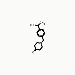 CC(C)c1ccc(CN2CCC(=O)CC2)cc1